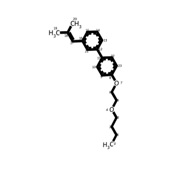 CCCCOCCOc1ccc(-c2cccc(C=C(C)C)c2)cc1